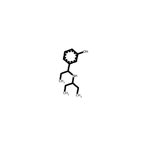 CCC(CC)NC(CC)c1cccc(O)c1